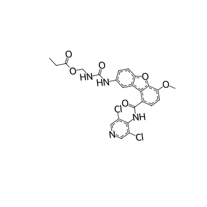 CCC(=O)OCNC(=O)Nc1ccc2oc3c(OC)ccc(C(=O)Nc4c(Cl)cncc4Cl)c3c2c1